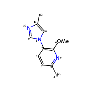 COc1nc(C(C)C)ccc1-n1cnc(C)c1